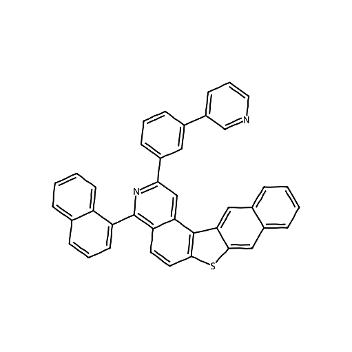 c1cncc(-c2cccc(-c3cc4c(ccc5sc6cc7ccccc7cc6c54)c(-c4cccc5ccccc45)n3)c2)c1